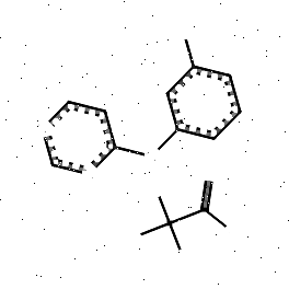 Clc1cccc(Nc2ccncn2)c1.O=C(O)C(F)(F)F